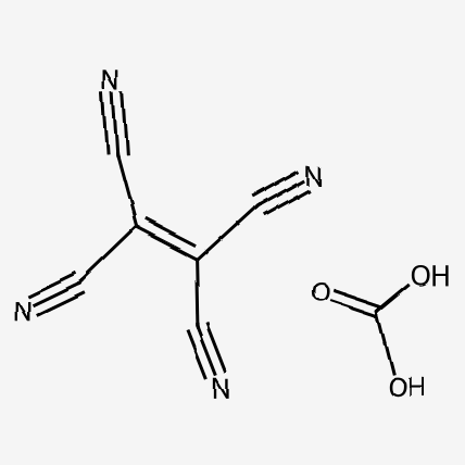 N#CC(C#N)=C(C#N)C#N.O=C(O)O